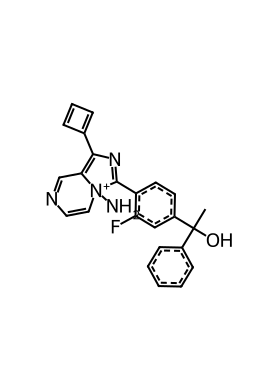 CC(O)(c1ccccc1)c1ccc(C2=NC(C3=CC=C3)=C3C=NC=C[N+]23N)c(F)c1